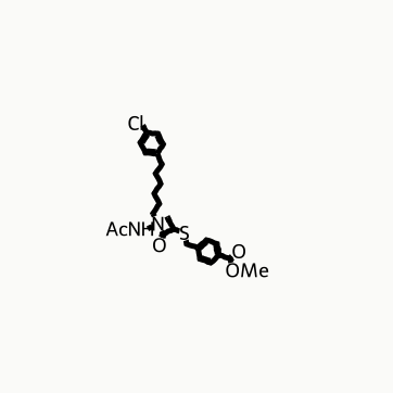 COC(=O)c1ccc(CSC2C[N+](CCCCCCc3ccc(Cl)cc3)(NC(C)=O)C2=O)cc1